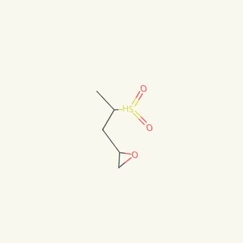 CC(CC1CO1)[SH](=O)=O